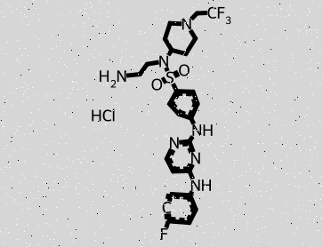 Cl.NCCN(C1CCN(CC(F)(F)F)CC1)S(=O)(=O)c1ccc(Nc2nccc(Nc3ccc(F)cc3)n2)cc1